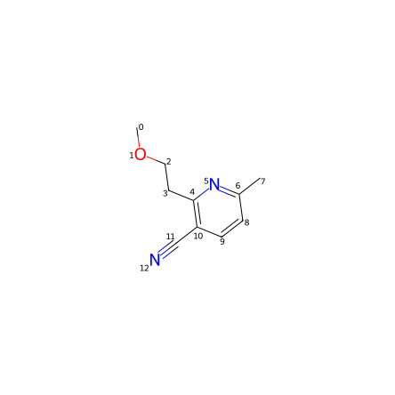 COCCc1nc(C)ccc1C#N